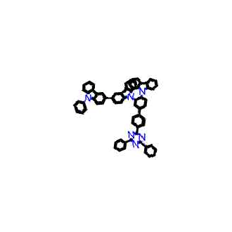 c1ccc(-c2nc(-c3ccccc3)nc(-c3ccc(-c4ccc(-n5c6ccccc6c6ccccc65)c(-n5c6ccccc6c6cc(-c7ccc8c(c7)c7ccccc7n8-c7ccccc7)ccc65)c4)cc3)n2)cc1